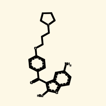 CCCCc1oc2ccc(N)cc2c1C(=O)c1ccc(OCCCN2CCCC2)cc1